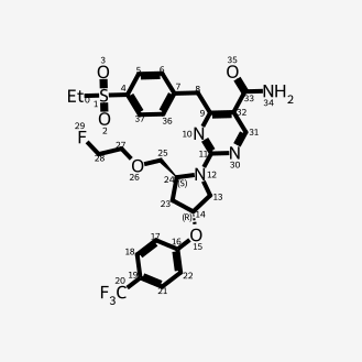 CCS(=O)(=O)c1ccc(Cc2nc(N3C[C@H](Oc4ccc(C(F)(F)F)cc4)C[C@H]3COCCF)ncc2C(N)=O)cc1